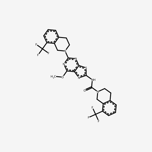 COc1nc(N2CCc3cccc(C(F)(F)F)c3C2)nc2sc(NC(=O)N3CCc4cccc(C(F)(F)F)c4C3)nc12